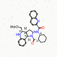 COC[C@@H]1Nc2ccccc2[C@H]2[C@@H]1CCN2C(=O)[C@H]1CCCC[C@H]1NC(=O)c1ccc2ccccc2n1